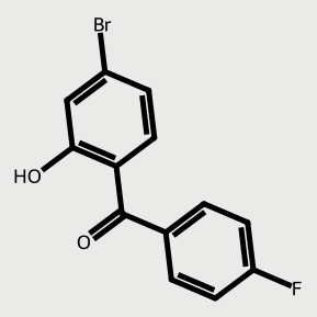 O=C(c1ccc(F)cc1)c1ccc(Br)cc1O